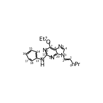 CCCC=Cn1cnc2c(OCC)nc(Nc3ccccc3)nc21